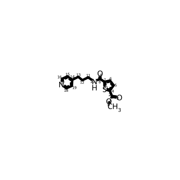 COC(=O)c1ccc(C(=O)NCCCc2ccncc2)s1